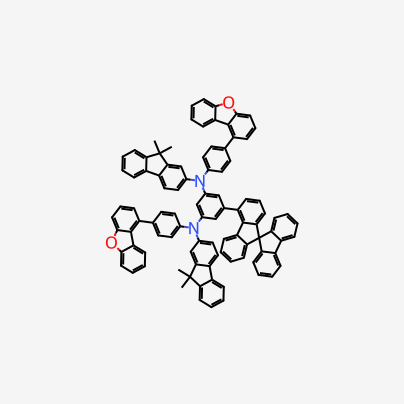 CC1(C)c2ccccc2-c2ccc(N(c3ccc(-c4cccc5oc6ccccc6c45)cc3)c3cc(-c4cccc5c4-c4ccccc4C54c5ccccc5-c5ccccc54)cc(N(c4ccc(-c5cccc6oc7ccccc7c56)cc4)c4ccc5c(c4)C(C)(C)c4ccccc4-5)c3)cc21